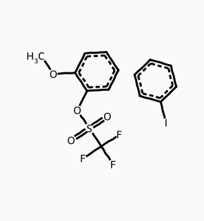 COc1ccccc1OS(=O)(=O)C(F)(F)F.Ic1ccccc1